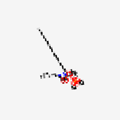 CC#CC#CC#CC#CC#CC#CC#CC#CC#CC#CC#CC#CC(=O)N[C@@H](CO[C@H]1OC(COP(=O)(Oc2ccccc2)Oc2ccccc2)[C@H](C)[C@H](C)C1C)[C@@H]1OC(C)(C)O[C@@H]1C=CCCCCCCCCCCCC